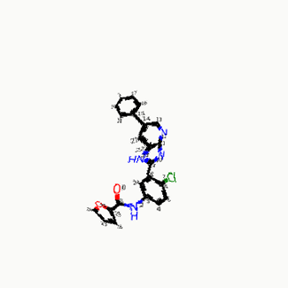 O=C(Nc1ccc(Cl)c(-c2nc3ncc(-c4ccccc4)cc3[nH]2)c1)c1ccco1